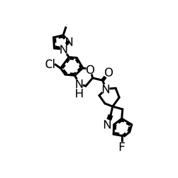 Cc1ccn(-c2cc3c(cc2Cl)NCC(C(=O)N2CCC(C#N)(Cc4ccc(F)cc4)CC2)O3)n1